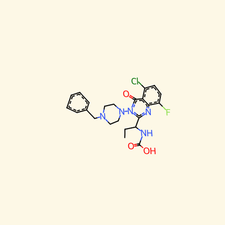 CCC(NC(=O)O)c1nc2c(F)ccc(Cl)c2c(=O)n1N1CCN(Cc2ccccc2)CC1